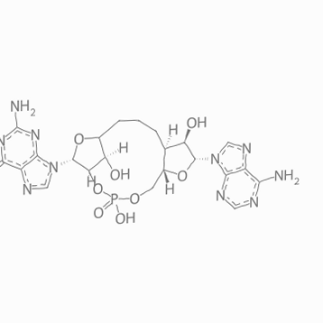 Nc1nc2c(ncn2[C@@H]2OC3CCC[C@H]4[C@@H](O)[C@H](n5cnc6c(N)ncnc65)O[C@@H]4COP(=O)(O)O[C@@H]2[C@@H]3O)c(=S)[nH]1